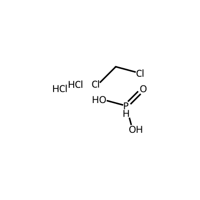 Cl.Cl.ClCCl.O=[PH](O)O